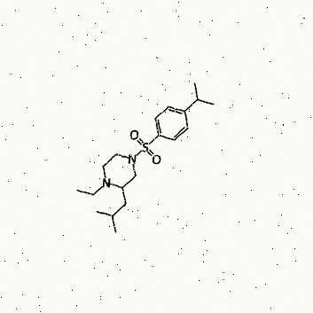 CCN1CCN(S(=O)(=O)c2ccc(C(C)C)cc2)CC1CC(C)C